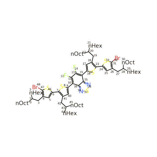 CCCCCCCCC(CCCCCC)Cc1cc(-c2sc(-c3c(F)c(F)c(-c4cc(CC(CCCCCC)CCCCCCCC)c(-c5cc(CC(CCCCCC)CCCCCCCC)c(Br)s5)s4)c4nsnc34)cc2CC(CCCCCC)CCCCCCCC)sc1Br